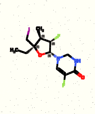 CC[C@@]1(CI)O[C@@H](N2C=C(F)C(=O)NC2)[C@@H](F)[C@@H]1C